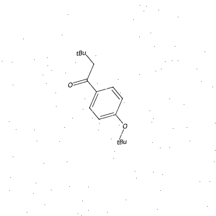 CC(C)(C)CC(=O)c1ccc(OC(C)(C)C)cc1